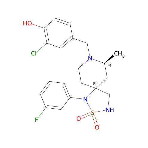 C[C@H]1C[C@]2(CCN1Cc1ccc(O)c(Cl)c1)CNS(=O)(=O)N2c1cccc(F)c1